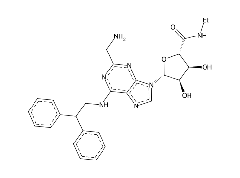 CCNC(=O)[C@H]1O[C@@H](n2cnc3c(NCC(c4ccccc4)c4ccccc4)nc(CN)nc32)[C@H](O)[C@@H]1O